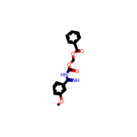 COc1[c]ccc(C(=N)NC(=O)OCOC(=O)c2ccccc2)c1